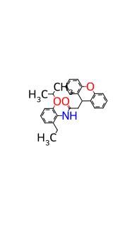 CCc1cccc(OC(C)C)c1NC(=O)CC1c2ccccc2Oc2ccccc21